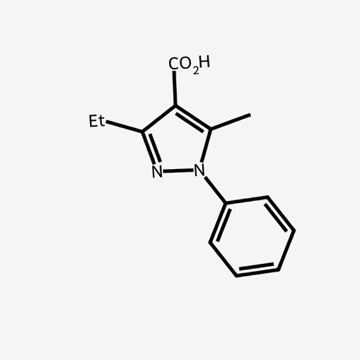 CCc1nn(-c2ccccc2)c(C)c1C(=O)O